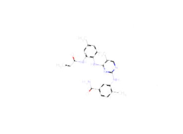 C=CC(=O)Nc1cc(C)ccc1Nc1nc(Nc2cc(C(N)=O)ccc2C)ncc1C(F)(F)F